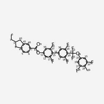 CCC1Cc2ccc(C(=O)Oc3cc(F)c(-c4cc(F)c(C(F)(F)Oc5cc(F)c(C)c(F)c5)c(F)c4)c(F)c3)cc2C1